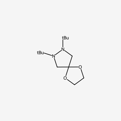 CC(C)(C)N1CC2(CN1C(C)(C)C)OCCO2